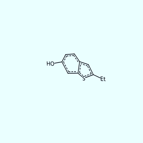 CCc1cc2ccc(O)cc2s1